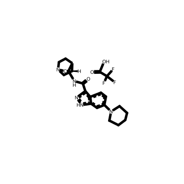 O=C(N[C@@H]1CN2CCC1CC2)c1n[nH]c2cc(N3CCCCC3)ccc12.O=C(O)C(F)(F)F